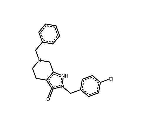 O=c1c2c([nH]n1Cc1ccc(Cl)cc1)CN(Cc1ccccc1)CC2